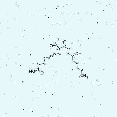 CCCCCC(O)/C=C/C1CCC(=O)C1CC#CCCCC(=O)O